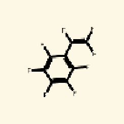 FC(F)=C(F)c1c(F)c(F)c(F)c(F)c1F